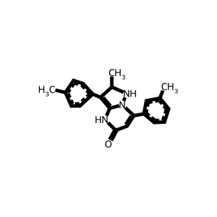 Cc1ccc(C2=C3NC(=O)C=C(c4cccc(C)c4)N3NC2C)cc1